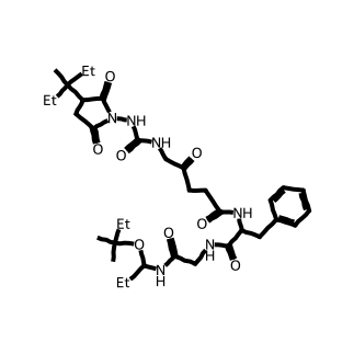 CCC(NC(=O)CNC(=O)C(Cc1ccccc1)NC(=O)CCC(=O)CNC(=O)NN1C(=O)CC(C(C)(CC)CC)C1=O)OC(C)(C)CC